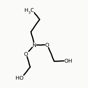 CCCN(OCO)OCO